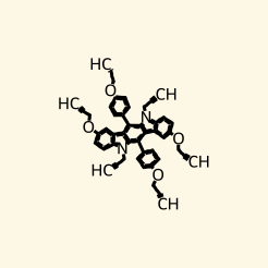 C#CCOc1ccc(-c2c3c4cc(OCC#C)ccc4n(CC#C)c3c(-c3ccc(OCC#C)cc3)c3c4cc(OCC#C)ccc4n(CC#C)c23)cc1